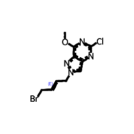 COc1nc(Cl)nc2cn(C/C=C/CBr)nc12